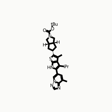 Cc1c([C@@H]2C[C@@H]3CN(C(=O)OC(C)(C)C)C[C@@H]3C2)sc2[nH]c(-c3cc(C)c4ncnn4c3)c(C(C)C)c12